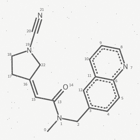 CN(Cc1ccc2ncccc2c1)C(=O)C=C1CCN(C#N)C1